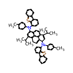 Cc1ccc(N(c2cc(C(C)C)c3c4c5c(ccc24)C(C(C)C)=CC(N(c2ccc(C)cc2)c2cccc4c2sc2ccccc24)C5=CC3)c2cccc3c2sc2ccccc23)cc1